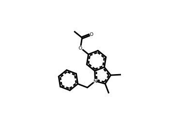 CC(=O)Oc1ccc2c(C)c(C)n(Cc3ccccc3)c2c1